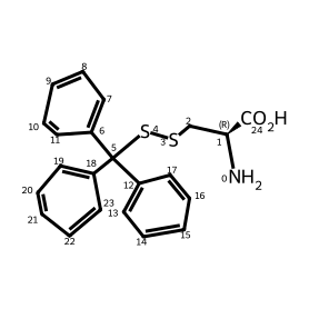 N[C@@H](CSSC(c1ccccc1)(c1ccccc1)c1ccccc1)C(=O)O